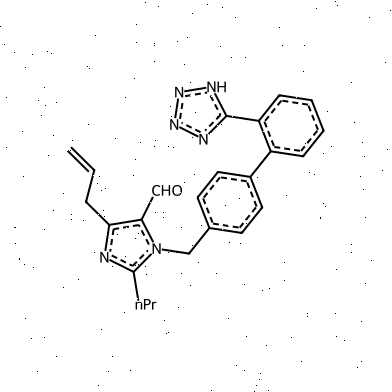 C=CCc1nc(CCC)n(Cc2ccc(-c3ccccc3-c3nnn[nH]3)cc2)c1C=O